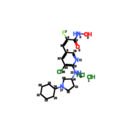 Cl.Cl.O=C(NO)/C(F)=C\c1cnc(N[C@@H]2CCN(C3CCCCC3)C2)c(Cl)c1